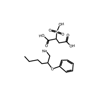 CCCCC([CH2][Na])Oc1ccccc1.O=C(O)CC(C(=O)O)S(=O)(=O)O